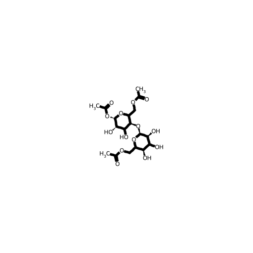 CC(=O)OCC1O[C@@H](O[C@@H]2C(COC(C)=O)O[C@@H](OC(C)=O)[C@@H](O)C2O)[C@@H](O)C(O)[C@H]1O